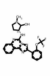 CN1CC[C@@H](Nc2nc3ccccc3c3nc(-c4ccccc4OC(F)(F)F)nn23)C1O